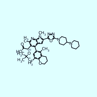 Cc1nc2c(cc(-c3nnc(N4CCC(N5CCCCC5)CC4)o3)n2C)c(-c2cc(F)c3c(c2C)CCCO3)c1[C@H](OC(C)(C)C)C(=O)O